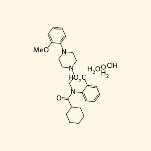 COc1ccccc1N1CCN(CCN(C(=O)C2CCCCC2)c2ccccc2C(=O)O)CC1.Cl.O.O